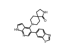 O=C1NCCC12CCN(c1c(-c3ccc4ncsc4c3)cnc3[nH]ccc13)CC2